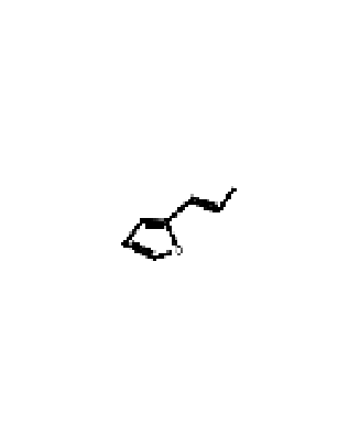 C/C=[C]/c1ccco1